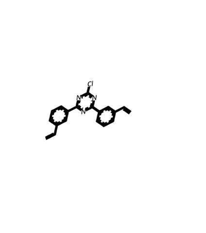 C=Cc1cccc(-c2nc(Cl)nc(-c3cccc(C=C)c3)n2)c1